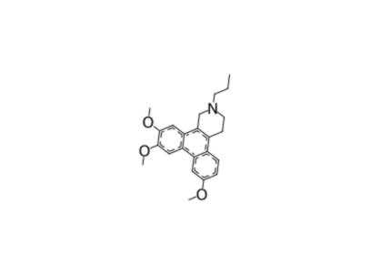 CCCN1CCc2c(c3cc(OC)c(OC)cc3c3cc(OC)ccc23)C1